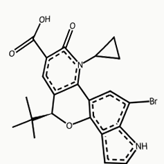 CC(C)(C)[C@@H]1Oc2c(cc(Br)c3[nH]ccc23)-c2c1cc(C(=O)O)c(=O)n2C1CC1